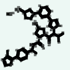 Cc1ncsc1-c1ccc([C@H](C)NC(=O)[C@@H]2C[C@@H](O)CN2C(=O)C(C(C)C)n2cc(-c3ccnc(N4CCC(N)C4)c3)cn2)cc1.Cl